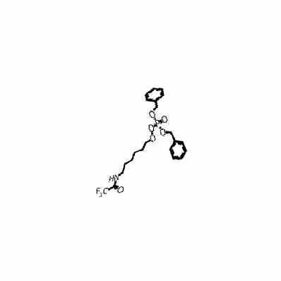 O=C(NCCCCCCOOP(=O)(OCc1ccccc1)OCc1ccccc1)C(F)(F)F